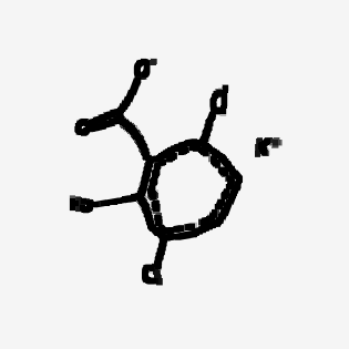 O=C([O-])c1c(Cl)ccc(Cl)c1O.[K+]